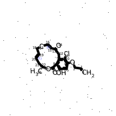 C=CCOc1cc(O)c2c(c1Cl)CC(=O)/C=C/CC/C=C/C[C@@H](C)OC2=O